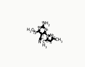 CSc1nc(N)nc(-n2nc(C)cc2C)c1C#N